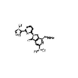 CCN(CC)c1cc2c(c(CNC)n1)CN(c1cccc(-c3nncn3CC)n1)C2=O